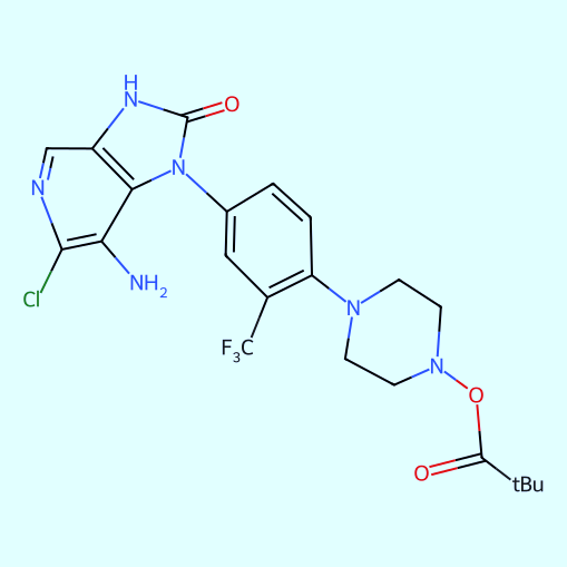 CC(C)(C)C(=O)ON1CCN(c2ccc(-n3c(=O)[nH]c4cnc(Cl)c(N)c43)cc2C(F)(F)F)CC1